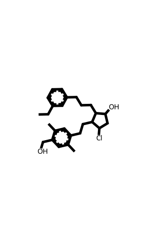 CCc1cccc(CCCC2C(O)CC(Cl)C2CCc2cc(C)c(CO)cc2C)c1